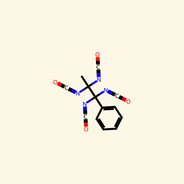 CC(N=C=O)(N=C=O)C(N=C=O)(N=C=O)c1ccccc1